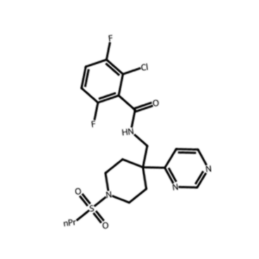 CCCS(=O)(=O)N1CCC(CNC(=O)c2c(F)ccc(F)c2Cl)(c2ccncn2)CC1